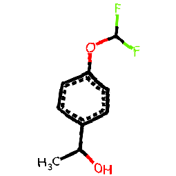 CC(O)c1ccc(OC(F)F)cc1